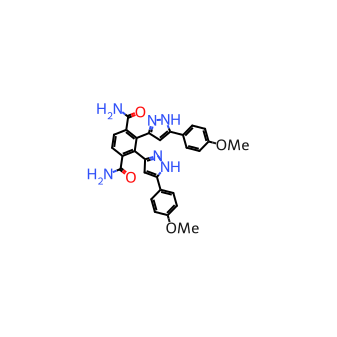 COc1ccc(-c2cc(-c3c(C(N)=O)ccc(C(N)=O)c3-c3cc(-c4ccc(OC)cc4)[nH]n3)n[nH]2)cc1